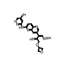 CN/C=C(\C(=N)COC1COC1)c1cnc2ccc(Nc3cc(C(C)C)cnn3)nc2c1